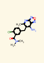 Cc1nc2nonc2c(N)c1Cc1ccc(Cl)c(C(=O)N(C)C)c1